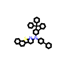 c1ccc(-c2ccc(N(c3ccc4c(c3)-c3ccccc3C4(c3ccccc3)c3ccccc3)c3ccc4c(n3)sc3c5ccccc5ccc43)cc2)cc1